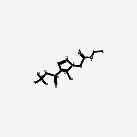 CCOC(=O)Cn1ncc(C(=O)OC(C)(C)C)c1C